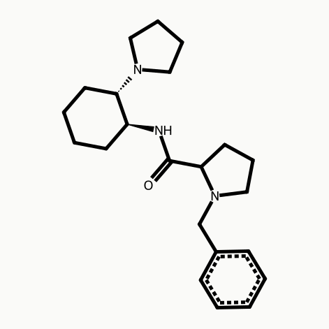 O=C(N[C@H]1CCCC[C@@H]1N1CCCC1)C1CCCN1Cc1ccccc1